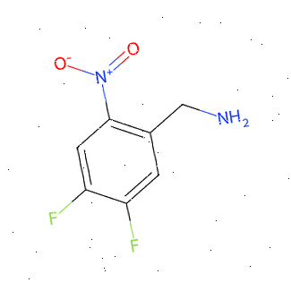 NCc1cc(F)c(F)cc1[N+](=O)[O-]